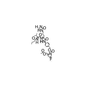 CCCC(=O)N[C@H](C(=O)N[C@@H](CCCNC(N)=O)C(=O)Nc1ccc(COC(=O)N2C[C@@H](F)C[C@H]2COC(C)=O)cc1)C(C)C